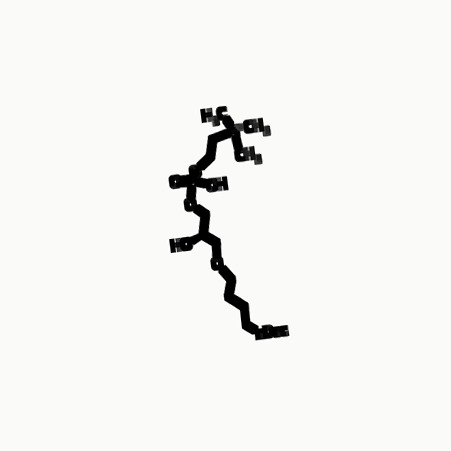 CCCCCCCCCCCCCCOC[C@@H](O)COP(=O)(O)OCC[N+](C)(C)C